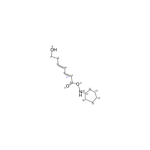 O=C(/C=C/C=CCCO)ONC1CCCCC1